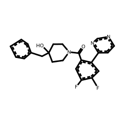 O=C(c1cc(F)c(F)cc1-c1ccncn1)N1CCC(O)(Cc2ccccc2)CC1